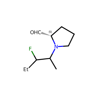 CCC(F)C(C)N1CCC[C@H]1C=O